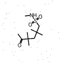 CNS(=O)(=O)CC(C)(C)CC(C)(C)C(C)=O